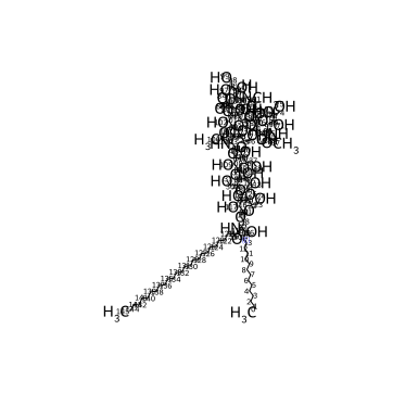 CCCCCCCCCCCCC/C=C/[C@@H](O)[C@H](CO[C@@H]1OC(CO)[C@@H](O[C@@H]2OC(CO)[C@H](O[C@@H]3OC(CO)[C@H](O)[C@H](O[C@@H]4OC(CO)[C@H](O)[C@H](O[C@@H]5OC(CO[C@]6(C(=O)O)CC(O)[C@@H](NC(C)=O)C([C@H](O)[C@H](O)CO)O6)[C@H](O)[C@H](O[C@]6(C(=O)O)CC(O)[C@@H](NC(C)=O)C([C@H](O)[C@H](O)CO)O6)C5O)C4NC(C)=O)C3O)[C@H](O)C2O)[C@H](O)C1O)NC(=O)CCCCCCCCCCCCCCCCCCCCCCCCC